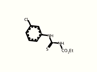 CCOC(=O)NC(=S)Nc1cccc(Cl)c1